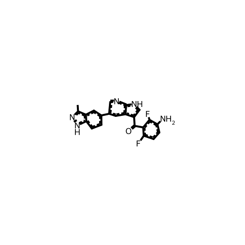 Cc1n[nH]c2ccc(-c3cnc4[nH]cc(C(=O)c5c(F)ccc(N)c5F)c4c3)cc12